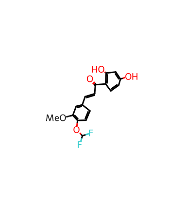 COc1cc(/C=C/C(=O)c2ccc(O)cc2O)ccc1OC(F)F